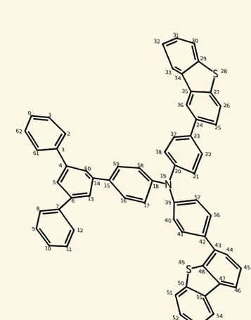 c1ccc(-c2cc(-c3ccccc3)cc(-c3ccc(N(c4ccc(-c5ccc6sc7ccccc7c6c5)cc4)c4ccc(-c5cccc6c5sc5ccccc56)cc4)cc3)c2)cc1